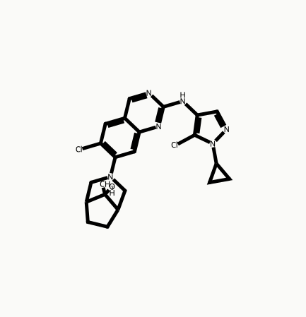 CC1(O)C2CCC1CN(c1cc3nc(Nc4cnn(C5CC5)c4Cl)ncc3cc1Cl)C2